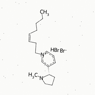 Br.CCCC/C=C\CC[n+]1cccc([C@@H]2CCCN2C)c1.[Br-]